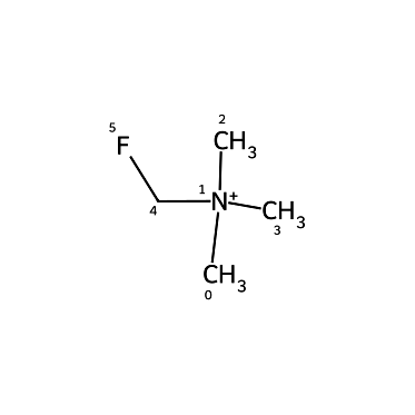 C[N+](C)(C)CF